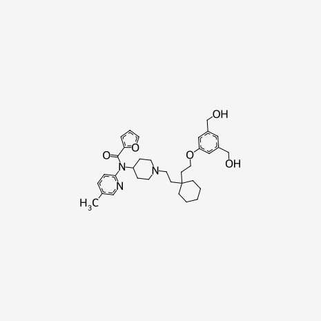 Cc1ccc(N(C(=O)c2ccco2)C2CCN(CCC3(CCOc4cc(CO)cc(CO)c4)CCCCC3)CC2)nc1